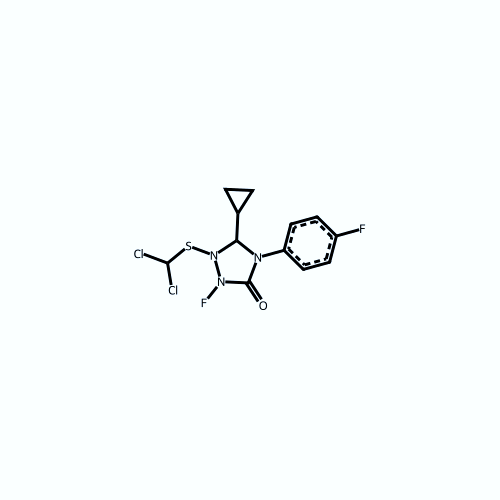 O=C1N(c2ccc(F)cc2)C(C2CC2)N(SC(Cl)Cl)N1F